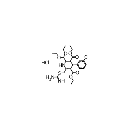 CCOC(=O)C1=C(CSC(=N)N)NC(C(OCC)OCC)=C(C(=O)OCC)C1c1cccc(Cl)c1.Cl